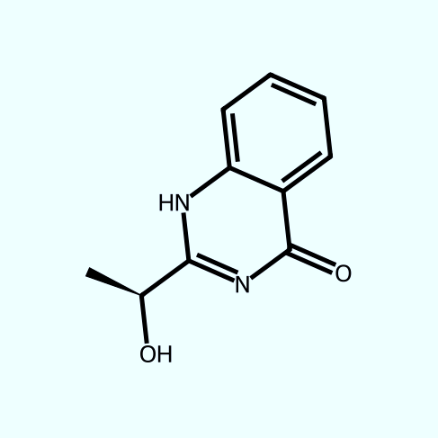 C[C@H](O)c1nc(=O)c2ccccc2[nH]1